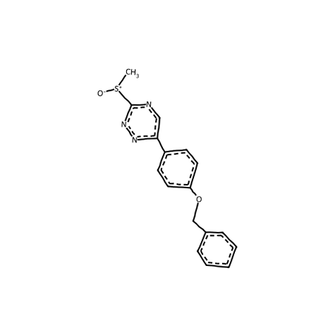 C[S+]([O-])c1ncc(-c2ccc(OCc3ccccc3)cc2)nn1